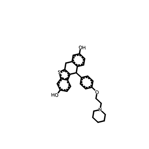 Oc1ccc2c(c1)Cc1sc3cc(O)ccc3c1C2c1ccc(OCCN2CCCCC2)cc1